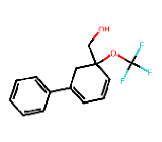 OCC1(OC(F)(F)F)C=CC=C(c2ccccc2)C1